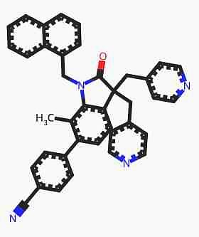 Cc1c(-c2ccc(C#N)cc2)ccc2c1N(Cc1cccc3ccccc13)C(=O)C2(Cc1ccncc1)Cc1ccncc1